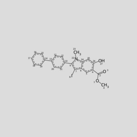 COC(=O)c1cc2c(I)c(-c3ccc(-c4ccccc4)cc3)n(C)c2cc1O